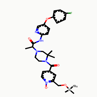 CC(C(=O)Nc1ccc(Oc2ccc(F)cc2)cn1)N1CCN(C(=O)c2cc[n+]([O-])c(CO[Si](C)(C)C(C)(C)C)c2)C(C)(C)C1